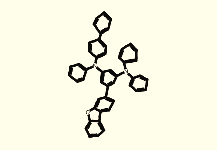 c1ccc(-c2ccc(N(c3ccccc3)c3cc(-c4ccc5c(c4)oc4ccccc45)cc(N(c4ccccc4)c4ccccc4)c3)cc2)cc1